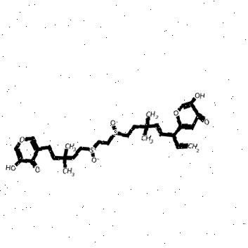 C=CC(CCC(C)(C)CC[S+]([O-])CC[S+]([O-])CCC(C)(C)CCc1cocc(O)c1=O)c1cc(=O)c(O)co1